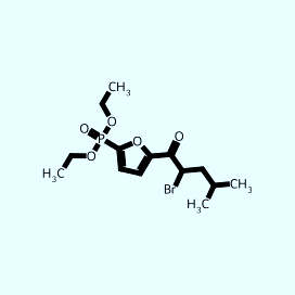 CCOP(=O)(OCC)c1ccc(C(=O)C(Br)CC(C)C)o1